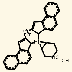 CCCC1=Cc2c(ccc3ccccc23)[CH]1[Hf]1([CH]2C(CCC)=Cc3c2ccc2ccccc32)[CH]2CCCC[CH]21.Cl.Cl